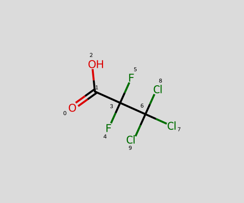 O=C(O)C(F)(F)C(Cl)(Cl)Cl